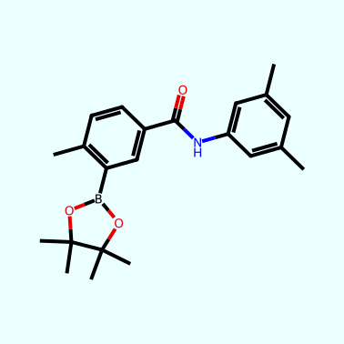 Cc1cc(C)cc(NC(=O)c2ccc(C)c(B3OC(C)(C)C(C)(C)O3)c2)c1